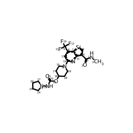 CNC(=O)c1csc2c(C(F)(F)F)cc(N3CCC(OC(=O)NN4CCCC4)CC3)nc12